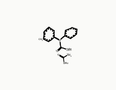 C.COC(=O)N(c1ccccc1)c1ccccc1.COC(N)=O